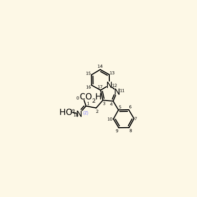 O=C(O)/C(Cc1c(-c2ccccc2)nn2ccccc12)=N\O